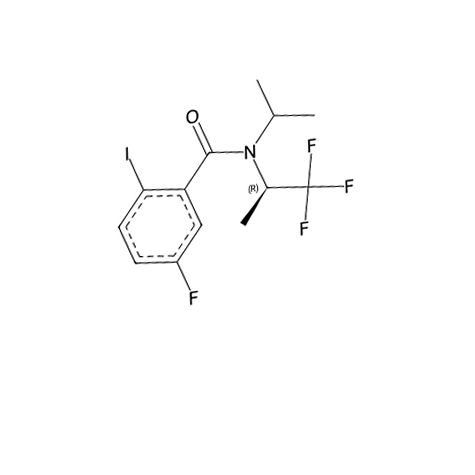 CC(C)N(C(=O)c1cc(F)ccc1I)[C@H](C)C(F)(F)F